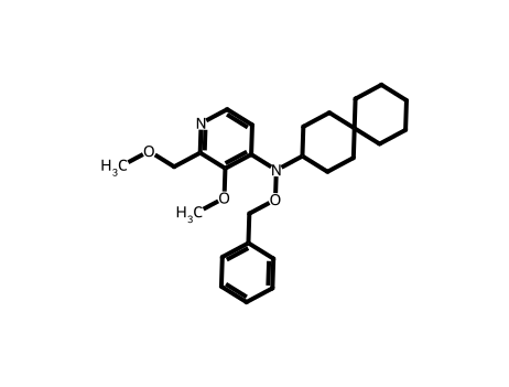 COCc1nccc(N(OCc2ccccc2)C2CCC3(CCCCC3)CC2)c1OC